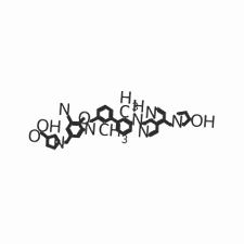 Cc1c(Nc2nccc3c(CN4CCC(O)C4)ccnc23)cccc1-c1cccc(-c2nc3cc(CN4CCC(C(=O)O)C4)cc(C#N)c3o2)c1C